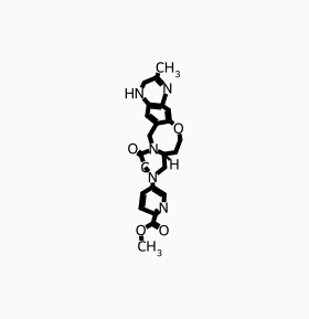 COC(=O)c1ccc(N2CC(=O)N3Cc4cc5c(cc4OCC[C@@H]3C2)N=C(C)CN5)cn1